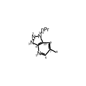 CCCn1nnc2ncc(C)cc21